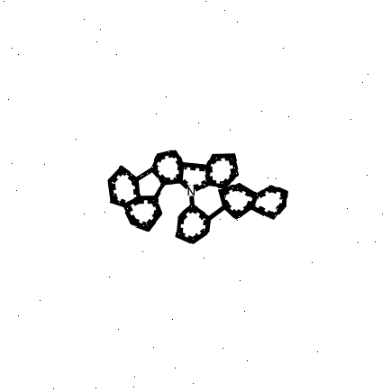 c1ccc(-n2c3ccccc3c3ccc4c(c32)-c2cccc3cccc-4c23)c(-c2ccc3ccccc3c2)c1